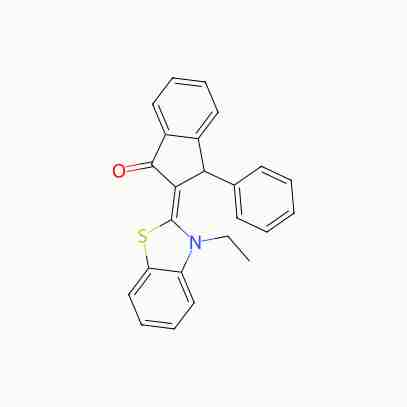 CCN1/C(=C2/C(=O)c3ccccc3C2c2ccccc2)Sc2ccccc21